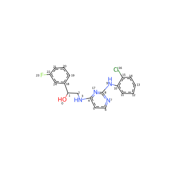 OC(CNc1ccnc(Nc2ccccc2Cl)n1)c1cccc(F)c1